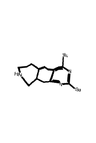 CC(C)(C)c1nc2c(c(C(C)(C)C)n1)CC1CCNCC1C2